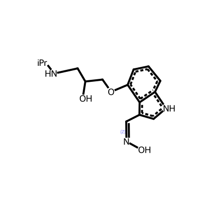 CC(C)NCC(O)COc1cccc2[nH]cc(/C=N\O)c12